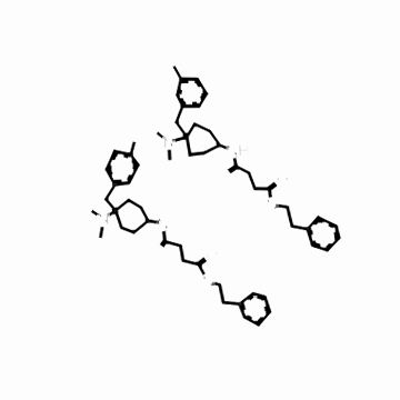 Cc1ccc(CC2(N(C)C)CCC(NC(=O)CCC(=O)NCCc3ccccc3)CC2)cc1.Cc1cccc(CC2(N(C)C)CCC(NC(=O)CCC(=O)NCCc3ccccc3)CC2)c1